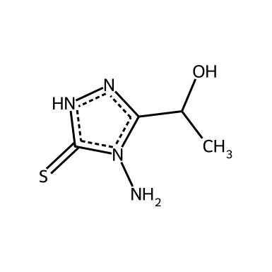 CC(O)c1n[nH]c(=S)n1N